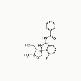 C[C@H]1OC[C@@](NC(=S)NC(=O)c2ccccc2)(c2ccccc2F)C1CO